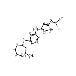 C[C@@H]1C[C@H](Oc2cncc(Nc3cc(OC(F)F)[nH]n3)n2)CCCN1